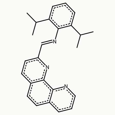 CC(C)c1cccc(C(C)C)c1N=Cc1ccc2ccc3cccnc3c2n1